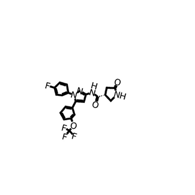 O=C1C[C@@H](C(=O)Nc2cc(-c3cccc(OC(F)(F)F)c3)n(-c3ccc(F)cc3)n2)CN1